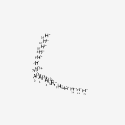 [Al+3].[Al+3].[Al+3].[Al+3].[H-].[H-].[H-].[H-].[H-].[H-].[H-].[H-].[H-].[H-].[H-].[H-]